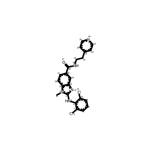 Cn1c(Nc2c(Cl)cccc2Cl)nc2cc(C(=O)NCCc3ccncc3)ccc21